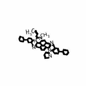 C=N/C(=C\C=C/C)N(c1ccc(-c2ccccc2)cc1C#N)c1ccc2ccc3c(N(c4ccccn4)c4ccc(-c5ccccc5)cc4C#N)ccc4ccc1c2c43